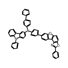 c1ccc(-c2ccc(N(c3ccc(-c4ccc5c(c4)oc4ccc6oc(-c7ccccc7)nc6c45)cc3)c3ccc4c(c3)c3ccccc3n4-c3ccccc3)cc2)cc1